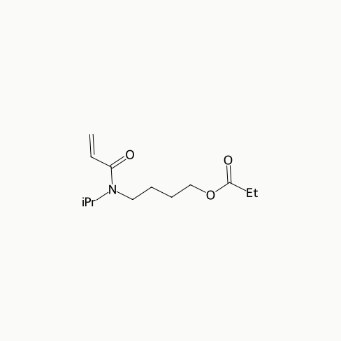 C=CC(=O)N(CCCCOC(=O)CC)C(C)C